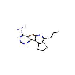 CCCc1nc2sc3c(N(C)C)ncnc3c2c2c1CCC2